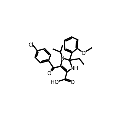 CCC1(c2ccccc2OC)NC(C(=O)O)=C(C(=O)c2ccc(Cl)cc2)N1C(C)C